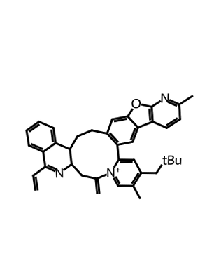 C=CC1=NC2CC(=C)[n+]3cc(C)c(CC(C)(C)C)cc3-c3cc4c(cc3CCC2c2ccccc21)oc1nc(C)ccc14